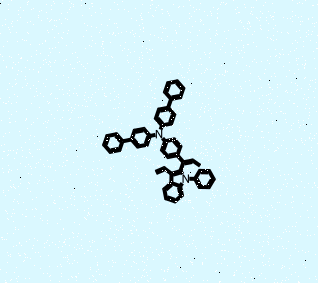 C=Cc1c(/C(=C\C)c2ccc(N(c3ccc(-c4ccccc4)cc3)c3ccc(-c4ccccc4)cc3)cc2)n(-c2ccccc2)c2ccccc12